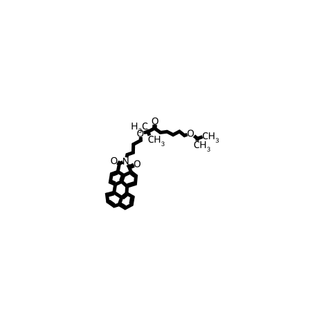 CC(C)OCCCCCC(=O)C(C)(C)OCCCCN1C(=O)c2ccc3c4cccc5cccc(c6ccc(c2c36)C1=O)c54